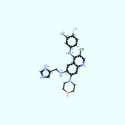 N#Cc1cnc2cc(N3CCOCC3)c(NCc3cnc[nH]3)cc2c1Nc1ccc(F)c(Cl)c1